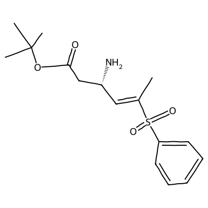 C/C(=C\[C@@H](N)CC(=O)OC(C)(C)C)S(=O)(=O)c1ccccc1